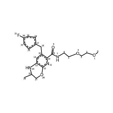 COCCOCCNC(=O)c1nc2c(cc1Cc1ccc(F)cc1)NC(C)CO2